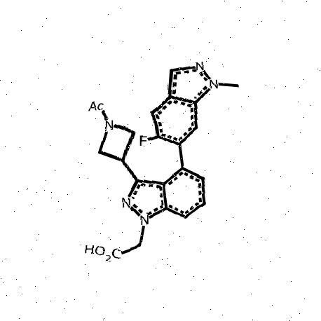 CC(=O)N1CC(c2nn(CC(=O)O)c3cccc(-c4cc5c(cnn5C)cc4F)c23)C1